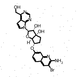 Nc1nc2cc(O[C@H]3CC[C@@]4(O)[C@@H]3O[C@@H](n3ccc5c(CO)ncnc53)[C@@H]4O)ccc2cc1Br